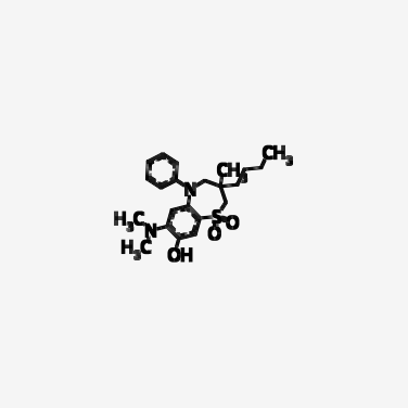 CCCCC1(C)CN(c2ccccc2)c2cc(N(C)C)c(O)cc2S(=O)(=O)C1